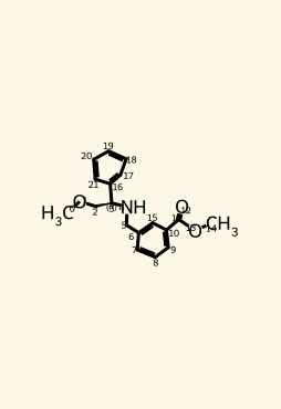 COC[C@H](NCc1cccc(C(=O)OC)c1)c1ccccc1